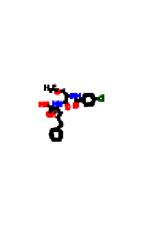 COCC(NC(=O)c1ccc(Cl)cc1)C(=O)N[C@@H](CCCc1ccccc1)B(O)O